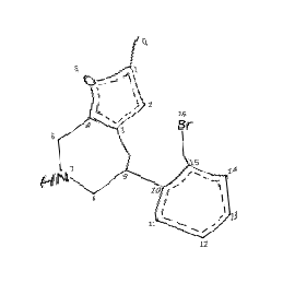 Cc1cc2c(o1)CNCC2c1ccccc1Br